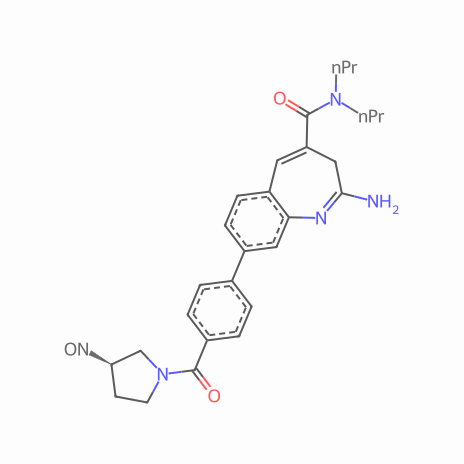 CCCN(CCC)C(=O)C1=Cc2ccc(-c3ccc(C(=O)N4CC[C@@H](N=O)C4)cc3)cc2N=C(N)C1